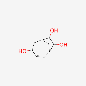 OC1C=CC2CC(C1)C(O)C2O